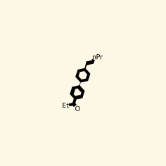 CCC/C=C/[C@H]1CC[C@H](c2ccc(C(=O)CC)cc2)CC1